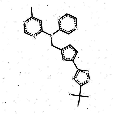 Cc1cc(N(Cc2ccc(-c3noc(C(F)(F)F)n3)s2)c2cnccn2)ncn1